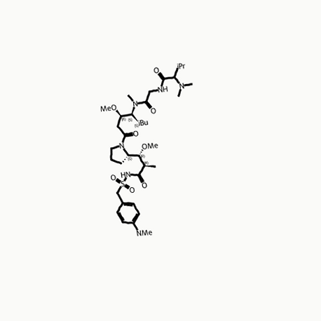 CC[C@H](C)[C@@H]([C@@H](CC(=O)N1CCC[C@H]1[C@H](OC)[C@@H](C)C(=O)NS(=O)(=O)Cc1ccc(NC)cc1)OC)N(C)C(=O)CNC(=O)C(C(C)C)N(C)C